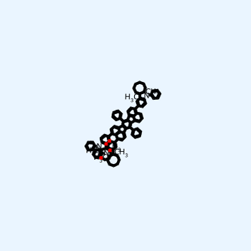 CC12CCCCCCC1(C)N(c1ccccc1)c1ccc(-c3ccc4c5c(-c6ccccc6)c6c7ccc(-c8ccc9c(c8)C8(C)CCCCCCC8(C)N9c8ccccc8)c8c(-c9ccc%10c(c9)C9(C)CCCCCCC9(C)N%10c9ccccc9)ccc(c6c(-c6ccccc6)c5c5cccc3c54)c87)cc12